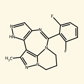 Cc1nn2c3c1-c1[nH]ncc1N=C(c1c(F)cccc1F)N3CCC2